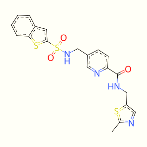 Cc1ncc(CNC(=O)c2ccc(CNS(=O)(=O)c3cc4ccccc4s3)cn2)s1